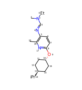 CCN(C)/C=N/c1ccc(O[C@H]2CC[C@H](C(C)C)CC2)nc1C